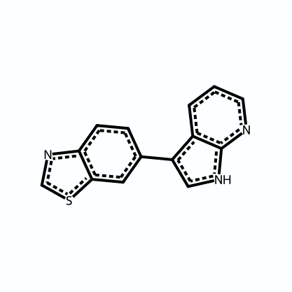 c1cnc2[nH]cc(-c3ccc4ncsc4c3)c2c1